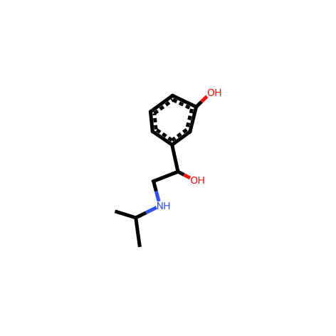 CC(C)NCC(O)c1cccc(O)c1